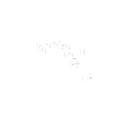 CC(Cn1ccc(C(=O)N2CCN(c3cnc(C(F)(F)F)cn3)CC2)c1)Nc1cnn(COCC[Si](C)(C)C)c(=O)c1C(F)(F)F